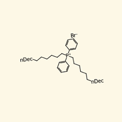 CCCCCCCCCCCCCCCC[P+](CCCCCCCCCCCCCCCC)(c1ccccc1)c1ccccc1.[Br-]